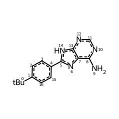 CC(C)(C)c1ccc(-c2nc3c(N)ncnc3[nH]2)cc1